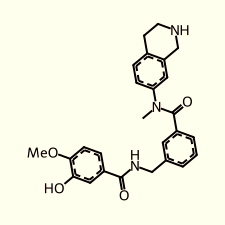 COc1ccc(C(=O)NCc2cccc(C(=O)N(C)c3ccc4c(c3)CNCC4)c2)cc1O